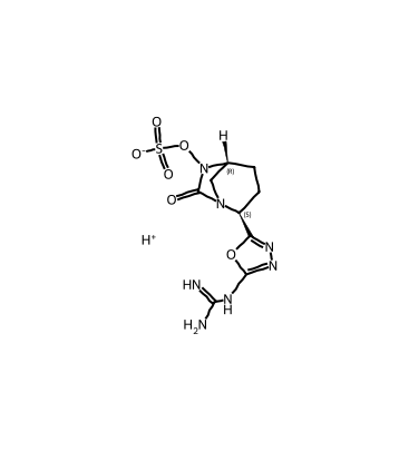 N=C(N)Nc1nnc([C@@H]2CC[C@@H]3CN2C(=O)N3OS(=O)(=O)[O-])o1.[H+]